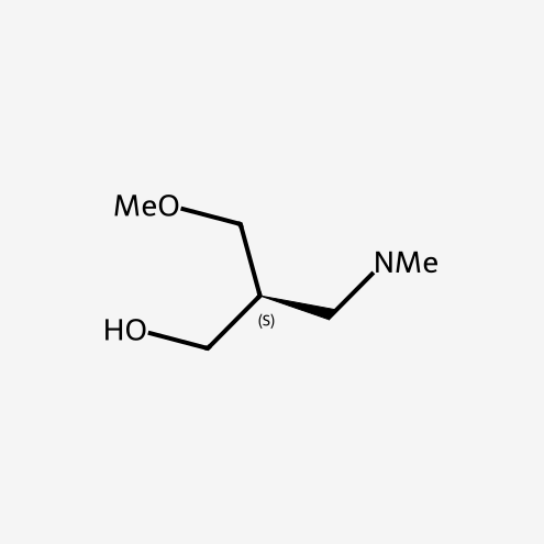 CNC[C@@H](CO)COC